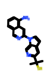 CC(C)(S)c1cc2ccn(-c3cc4c(N)cccc4cn3)c2cn1